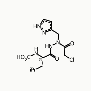 CC(C)C[C@H](NC(=O)O)C(=O)NN(Cc1cc[nH]n1)C(=O)CCl